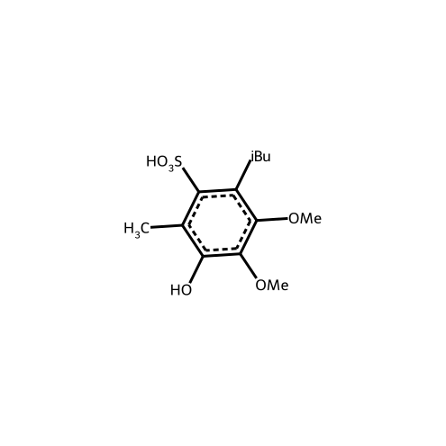 CCC(C)c1c(OC)c(OC)c(O)c(C)c1S(=O)(=O)O